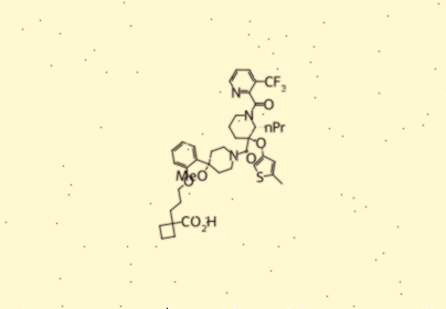 CCC[C@H]1N(C(=O)c2ncccc2C(F)(F)F)CCC[C@@]1(Oc1csc(C)c1)C(=O)N1CCC(OC)(c2ccccc2OCCCC2(C(=O)O)CCC2)CC1